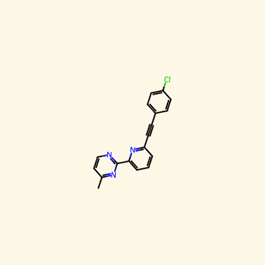 Cc1ccnc(-c2cccc(C#Cc3ccc(Cl)cc3)n2)n1